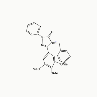 COc1cc(C2=NN(c3ccccc3)C(=O)/C2=C/c2ccccc2)cc(OC)c1OC